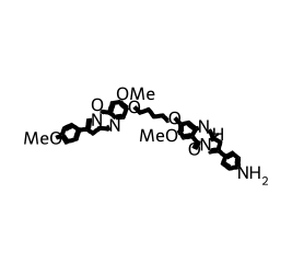 COc1ccc(C2=CN3C(=O)c4cc(OC)c(OCCCCCOc5cc6c(cc5OC)C(=O)N5C=C(c7ccc(N)cc7)C[C@H]5C=N6)cc4N=CC3C2)cc1